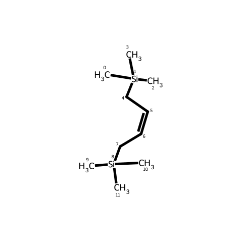 C[Si](C)(C)C/C=C\C[Si](C)(C)C